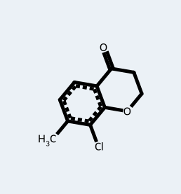 Cc1ccc2c(c1Cl)OCCC2=O